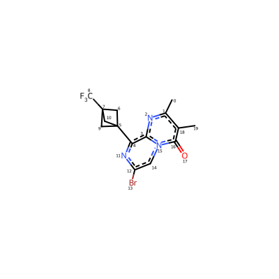 Cc1nc2c(C34CC(C(F)(F)F)(C3)C4)nc(Br)cn2c(=O)c1C